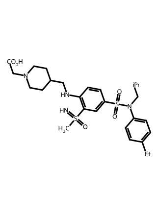 CCc1ccc(N(CC(C)C)S(=O)(=O)c2ccc(NCC3CCN(CC(=O)O)CC3)c(S(C)(=N)=O)c2)cc1